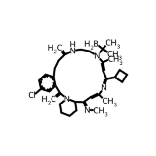 BC(C)(C)N1CCNC(=C)CCc2ccc(Cl)cc2C(=C)N2CCCCC2C(=N/C)/C=C(C)/N=C(C2CCC2)\C=C\1C